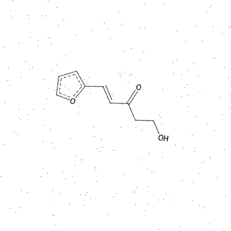 O=C(C=Cc1ccco1)CCO